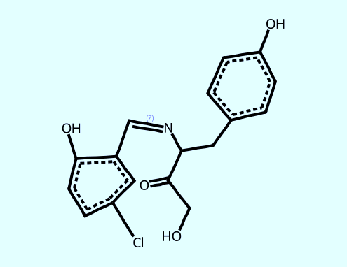 O=C(CO)C(Cc1ccc(O)cc1)/N=C\c1cc(Cl)ccc1O